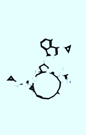 CC1CC/C=C\[C@@H]2C[C@@]2(C(=O)NS(=O)(=O)C2CC2)NC(=O)[C@@H]2C[C@@H](Oc3ncc(OC4CC4)c4c(Cl)cccc34)CN2C(=O)[C@@H](NC(=O)O)[C@H](C)C1